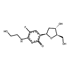 O=c1nc(NCCO)c(F)cn1[C@H]1C[C@H](O)[C@@H](CO)O1